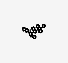 c1ccc(-c2c3ccccc3c(-c3ccc(-c4c5sc6cc7ccccc7cc6c5cc5oc6ccccc6c45)c4ccccc34)c3ccccc23)cc1